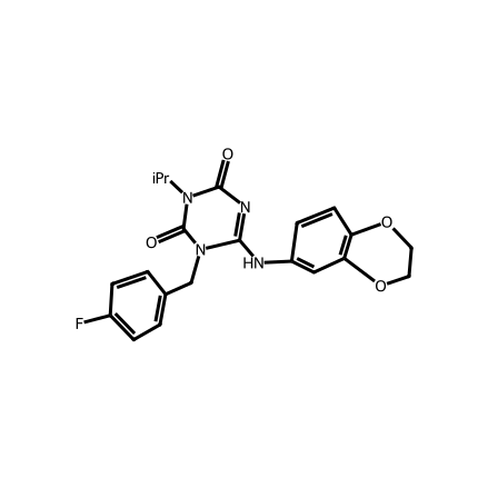 CC(C)n1c(=O)nc(Nc2ccc3c(c2)OCCO3)n(Cc2ccc(F)cc2)c1=O